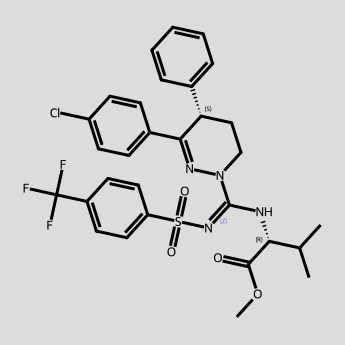 COC(=O)[C@H](N/C(=N/S(=O)(=O)c1ccc(C(F)(F)F)cc1)N1CC[C@@H](c2ccccc2)C(c2ccc(Cl)cc2)=N1)C(C)C